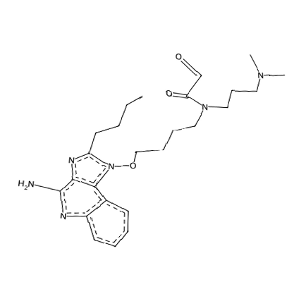 CCCCc1nc2c(N)nc3ccccc3c2n1OCCCCN(CCCN(C)C)C(=O)C=O